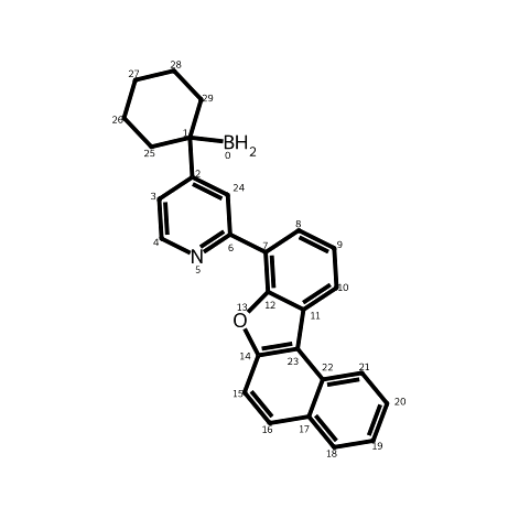 BC1(c2ccnc(-c3cccc4c3oc3ccc5ccccc5c34)c2)CCCCC1